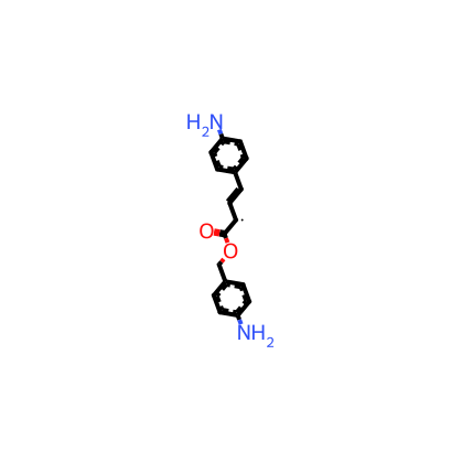 Nc1ccc(C=C[CH]C(=O)OCc2ccc(N)cc2)cc1